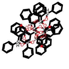 c1ccc([SiH](O[Si]2(c3ccccc3)O[Si]3(c4ccccc4)O[Si](O[SiH](c4ccccc4)c4ccccc4)(c4ccccc4)O[Si](c4ccccc4)(O2)O[Si]2(c4ccccc4)O[Si](O[SiH](c4ccccc4)c4ccccc4)(c4ccccc4)O[Si](c4ccccc4)(O[Si](O[SiH](c4ccccc4)c4ccccc4)(c4ccccc4)O2)O3)c2ccccc2)cc1